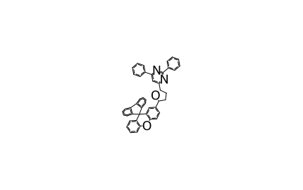 c1ccc(-c2cc(C3CCC(c4ccc5c(c4)C4(c6ccccc6O5)c5ccccc5-c5ccccc54)O3)nc(-c3ccccc3)n2)cc1